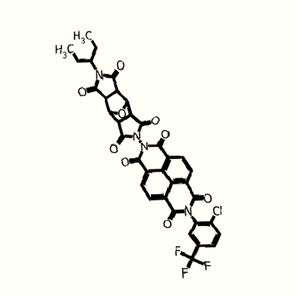 CCC(CC)N1C(=O)C2C3OC(C2C1=O)C1C(=O)N(N2C(=O)c4ccc5c6c(ccc(c46)C2=O)C(=O)N(c2cc(C(F)(F)F)ccc2Cl)C5=O)C(=O)C31